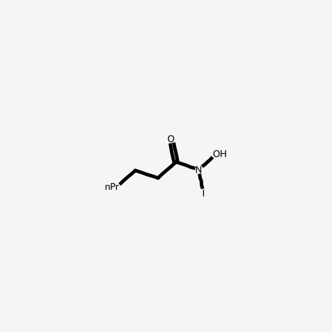 CCCCCC(=O)N(O)I